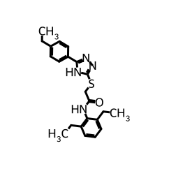 CCc1ccc(-c2nnc(SCC(=O)Nc3c(CC)cccc3CC)[nH]2)cc1